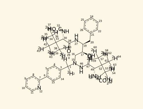 [2H]C([2H])(c1ccc(-c2ccccn2)cc1)N(C[C@H](O)[C@H](Cc1ccccc1)NC(=O)[C@@H](NC(=O)O)C(C([2H])([2H])[2H])(C([2H])([2H])[2H])C([2H])([2H])[2H])NC(=O)[C@@H](NC(=O)O)C(C([2H])([2H])[2H])(C([2H])([2H])[2H])C([2H])([2H])[2H]